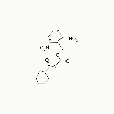 O=C(NC(=O)C1CCCCC1)OCc1c([N+](=O)[O-])cccc1[N+](=O)[O-]